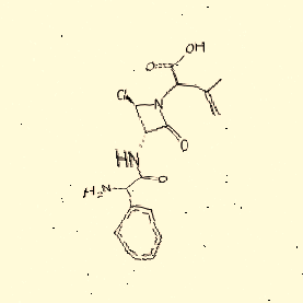 C=C(C)C(C(=O)O)N1C(=O)[C@H](NC(=O)C(N)c2ccccc2)[C@H]1Cl